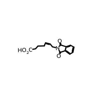 O=C(O)CCC/C=C\CN1C(=O)c2ccccc2C1=O